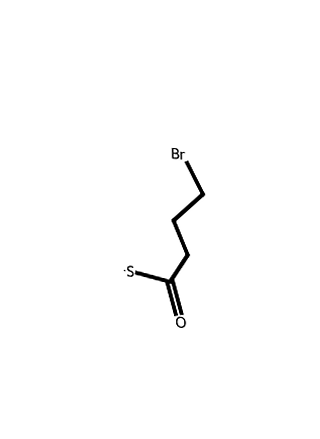 O=C([S])CCCBr